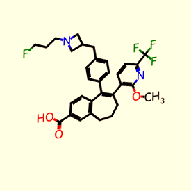 COc1nc(C(F)(F)F)ccc1C1=C(c2ccc(CC3CN(CCCF)C3)cc2)c2ccc(C(=O)O)cc2CCC1